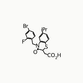 CC(C)c1ccc2c(c1)N(Cc1ccc(Br)cc1F)C(=O)C(CC(=O)O)S2